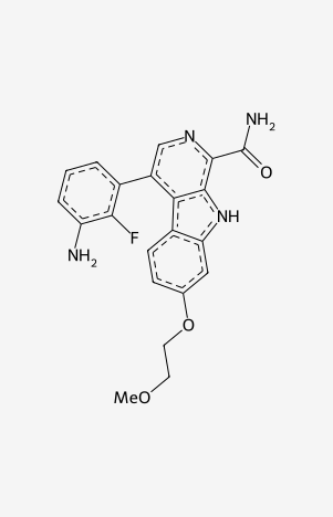 COCCOc1ccc2c(c1)[nH]c1c(C(N)=O)ncc(-c3cccc(N)c3F)c12